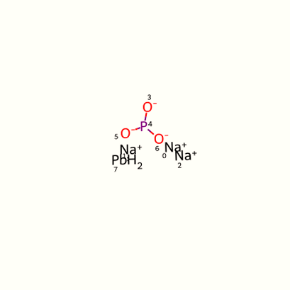 [Na+].[Na+].[Na+].[O-]P([O-])[O-].[PbH2]